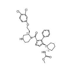 COC(=O)N[C@H]1CCCC[C@@H]1n1cnc(C(=O)N2CCNC[C@H]2CCOc2ccc(Cl)c(Cl)c2)c1-c1ccccc1